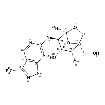 OC[C@@]12CO[C@@H](O1)[C@H](Nc1ncc3c(C(F)(F)F)n[nH]c3n1)[C@@H](O)[C@H]2O